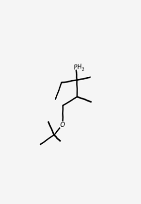 CCC(C)(P)C(C)COC(C)(C)C